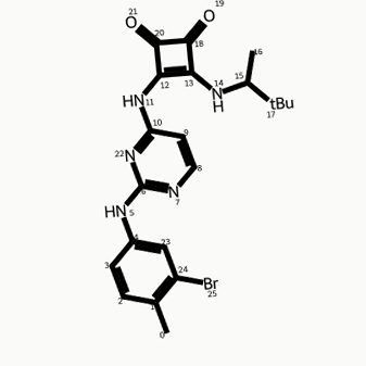 Cc1ccc(Nc2nccc(Nc3c(NC(C)C(C)(C)C)c(=O)c3=O)n2)cc1Br